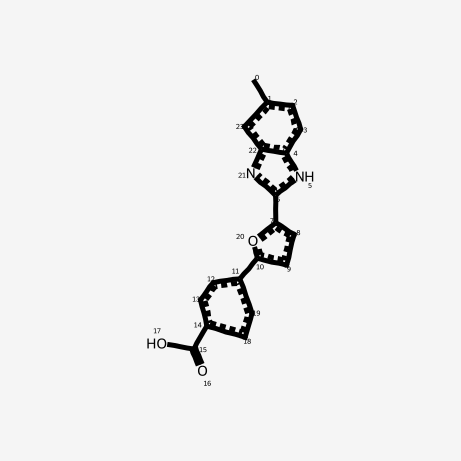 Cc1ccc2[nH]c(-c3ccc(-c4ccc(C(=O)O)cc4)o3)nc2c1